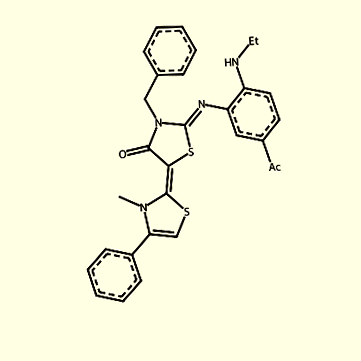 CCNc1ccc(C(C)=O)cc1N=C1SC(=C2SC=C(c3ccccc3)N2C)C(=O)N1Cc1ccccc1